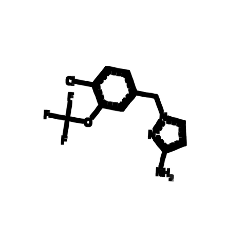 Nc1ccn(Cc2ccc(Cl)c(OC(F)(F)F)c2)n1